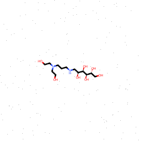 OCCN(CCO)CCCNC[C@H](O)[C@@H](O)[C@H](O)[C@H](O)CO